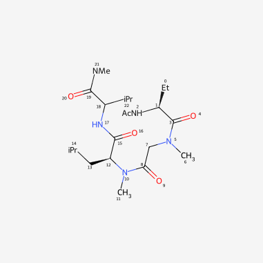 CC[C@H](NC(C)=O)C(=O)N(C)CC(=O)N(C)[C@@H](CC(C)C)C(=O)NC(C(=O)NC)C(C)C